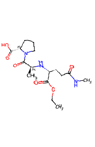 CCOC(=O)C(CCC(=O)NC)N[C@@H](C)C(=O)N1CCC[C@H]1C(=O)O